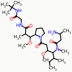 CCC(C)C(C(CC(=O)N1CCCC1C(OC)C(C)C(=O)NCC(=O)NC(C)(C)C)OC)N(C)C(=O)CC(C)N